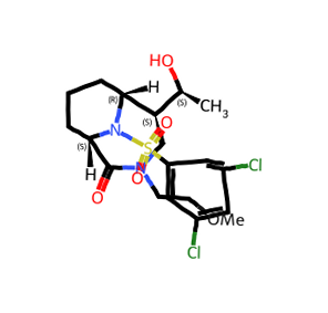 COCCN1C[C@H]([C@H](C)O)[C@H]2CCC[C@@H](C1=O)N2S(=O)(=O)c1cc(Cl)cc(Cl)c1